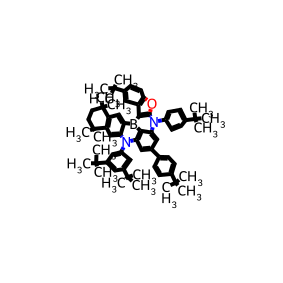 CC(C)(C)c1ccc(-c2cc3c4c(c2)N(c2ccc(C(C)(C)C)cc2)c2oc5ccc(C(C)(C)C)cc5c2B4c2cc4c(cc2N3c2cc(C(C)(C)C)cc(C(C)(C)C)c2)C(C)(C)CCC4(C)C)cc1